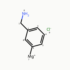 NCc1ccc[c]([Mg+])c1.[Cl-]